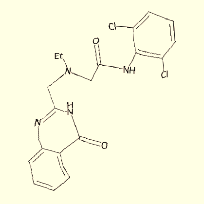 CCN(CC(=O)Nc1c(Cl)cccc1Cl)Cc1nc2ccccc2c(=O)[nH]1